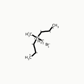 CCC[P+](C)(C)CCC.[Br-]